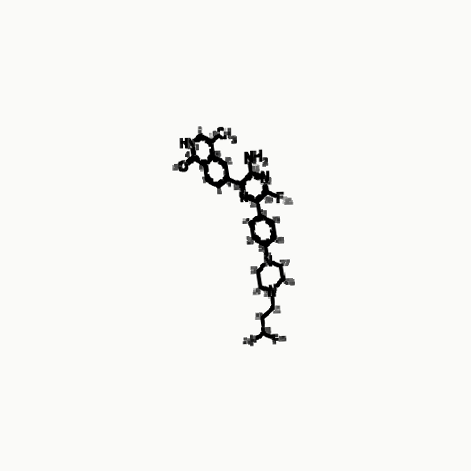 Cc1c[nH]c(=O)c2ccc(-c3nc(-c4ccc(N5CCN(CCC(F)F)CC5)cc4)c(F)nc3N)cc12